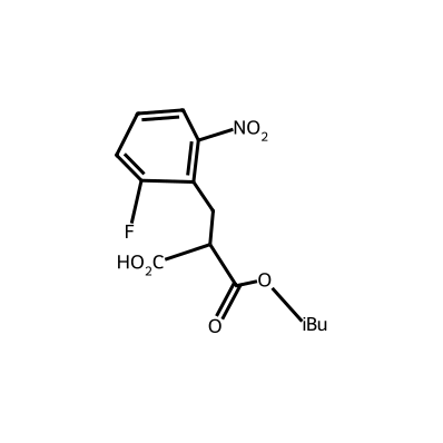 CCC(C)OC(=O)C(Cc1c(F)cccc1[N+](=O)[O-])C(=O)O